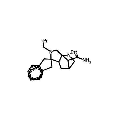 CCN1CC2CC3C1C(C2C(N)=O)N(CC(C)C)C3(Cc1ccccc1)Cc1ccccc1